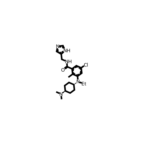 CCN(c1cc(Cl)cc(C(=O)NCc2cnc[nH]2)c1C)[C@H]1CC[C@H](N(C)C)CC1